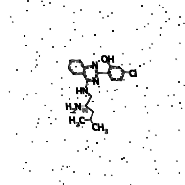 CC(C)C[C@H](N)CNc1nc(-c2ccc(Cl)cc2O)nc2ccccc12